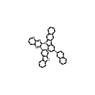 c1ccc2cc(-c3ccc4c(c3)c3cc5ccccc5cc3n4-c3nc4ncccc4nc3-c3ccc4oc5ccccc5c4c3)ccc2c1